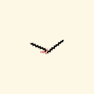 CCCCCCCCCCCCCCC(C)OC(CCCCCCCCCCCC)C(=O)O